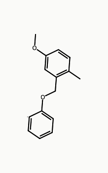 COc1ccc(C)c(COc2[c]cccc2)c1